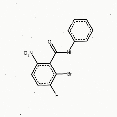 O=C(Nc1ccccc1)c1c([N+](=O)[O-])ccc(F)c1Br